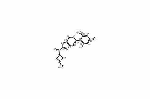 CCN1CC(N(C)c2nc3nc(-c4c(C)cc(Cl)cc4O)ccc3o2)C1